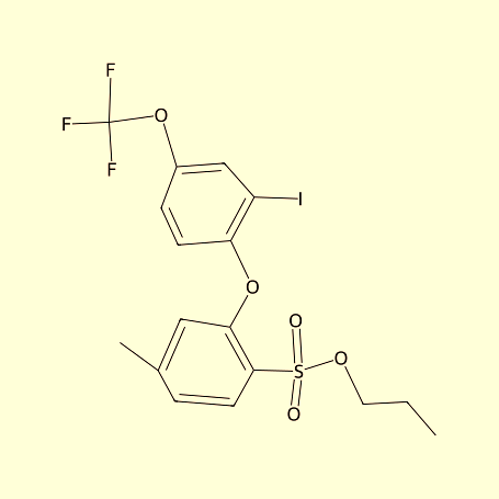 CCCOS(=O)(=O)c1ccc(C)cc1Oc1ccc(OC(F)(F)F)cc1I